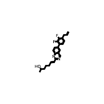 C=CCc1ccc(-c2ccc3nc(C=CCCCC(C)O)ncc3c2)c(F)c1F